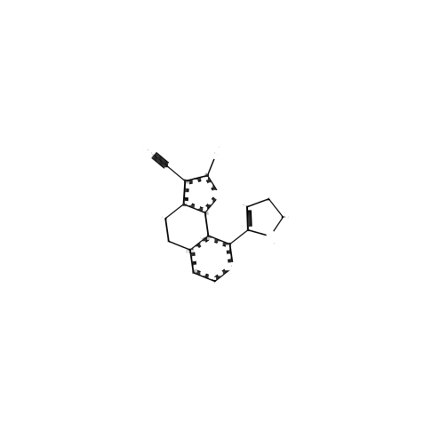 N#Cc1c(N)sc2c1CCc1ccnc(C3=CCCS3)c1-2